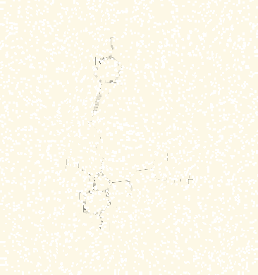 C[C@H](CC(=O)O)CC(=O)c1c(CCCCC#Cc2ccc(F)nc2)n(C)c2ncc(Cl)cc12